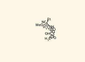 CC/C=C/C(C#N)=C(\C=C(/C)NC(=O)N1CCCc2cc(CN3CCN(C)CC3=O)c(C=O)nc21)OCCOC